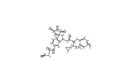 C[C@@H](C1CC1)N(Cc1ccc(F)cc1)C(=O)CC1CC2(OC(=O)NC2=O)c2ccc(NC(=O)CC#N)cc21